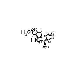 C[S+]([O-])Cc1cccc2c(C(c3ccc(Cl)cc3)C3CC3)c[nH]c12